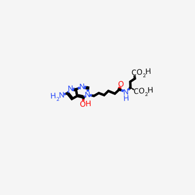 Nc1cc2c(O)n(CCCCCC(=O)N[C@@H](CCC(=O)O)C(=O)O)cnc-2n1